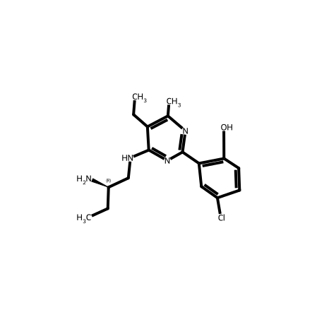 CCc1c(C)nc(-c2cc(Cl)ccc2O)nc1NC[C@H](N)CC